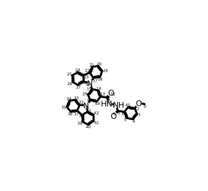 COc1cccc(C(=O)NNC(=O)c2cc(-n3c4ccccc4c4ccccc43)cc(-n3c4ccccc4c4ccccc43)c2)c1